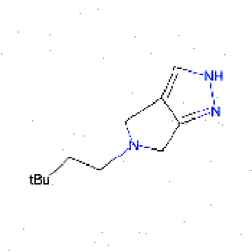 CC(C)(C)CCN1Cc2c[nH]nc2C1